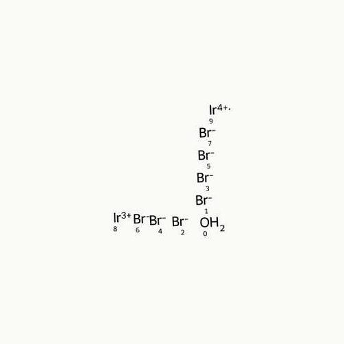 O.[Br-].[Br-].[Br-].[Br-].[Br-].[Br-].[Br-].[Ir+3].[Ir+4]